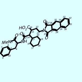 CNC(=O)C(Cc1ccccc1)NC(=O)C(C1CCCCC1)C(CCN1C(=O)c2cc3ccccc3cc2C1=O)C(=O)O